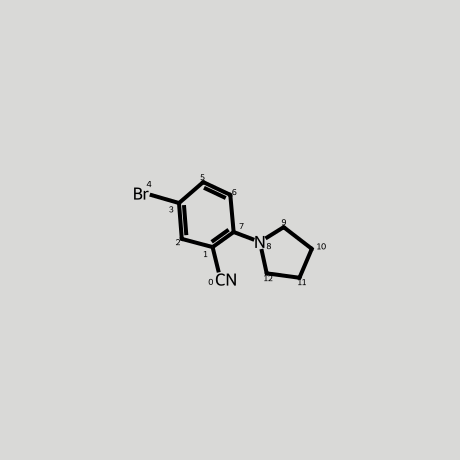 N#Cc1cc(Br)ccc1N1CCCC1